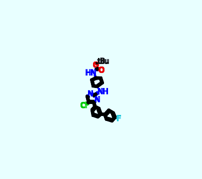 CC(C)(C)OC(=O)N[C@H]1CC[C@H](Nc2ncc(Cl)c(-c3cccc(-c4ccc(F)cc4)c3)n2)CC1